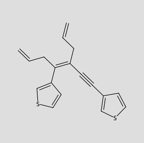 C=CCC(C#Cc1ccsc1)=C(CC=C)c1ccsc1